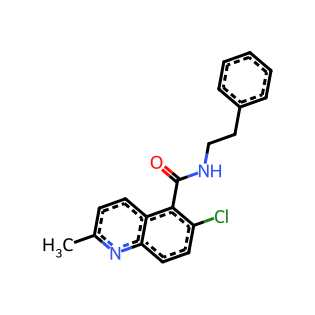 Cc1ccc2c(C(=O)NCCc3ccccc3)c(Cl)ccc2n1